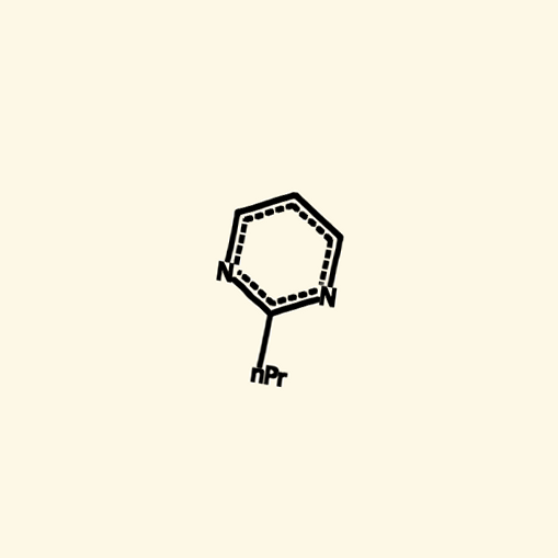 CCCc1ncccn1